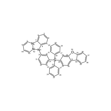 C1=CN2c3ccccc3N(c3cccc([Si](c4ccccc4)(c4ccccc4)c4ccc5c(c4)oc4ccccc45)c3)N2C=C1